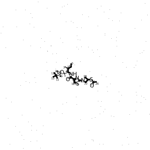 CC[C@H](C)[C@@H](CO[Si](C)(C)C(C)(C)C)NC(=O)c1csc(N2CC(SC(C)=O)C2)n1